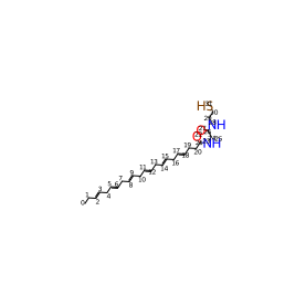 CCC=CCC=CCC=CCC=CCC=CCC=CCCC(=O)N[C@@H](C)C(=O)NCCS